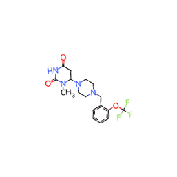 CN1C(=O)NC(=O)CC1N1CCN(Cc2ccccc2OC(F)(F)F)CC1